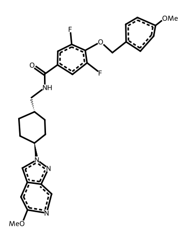 COc1ccc(COc2c(F)cc(C(=O)NC[C@H]3CC[C@H](n4cc5cc(OC)ncc5n4)CC3)cc2F)cc1